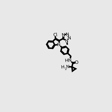 Cn1nnnc1-c1c(Cl)c2ccccc2n1-c1ccc(CNC(=O)C2(N)CC2)cc1